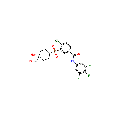 O=C(Nc1cc(F)c(F)c(F)c1)c1ccc(Cl)c(S(=O)(=O)[C@H]2CC[C@](O)(CO)CC2)c1